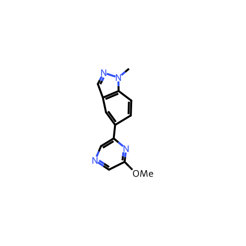 COc1cncc(-c2ccc3c(cnn3C)c2)n1